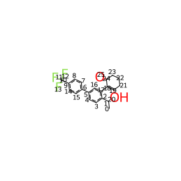 CCc1ccc(-c2ccc(C(F)(F)F)cc2)cc1C1=C(O)CCCC1=O